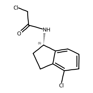 O=C(CCl)N[C@H]1CCc2c(Cl)cccc21